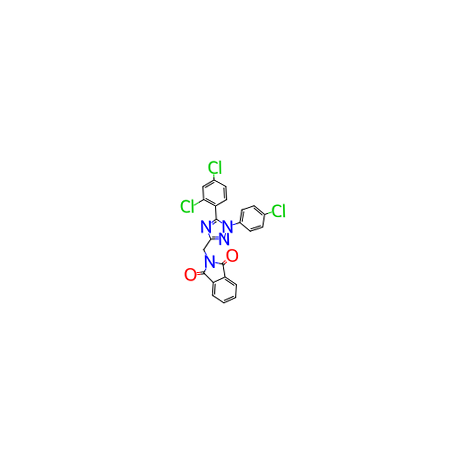 O=C1c2ccccc2C(=O)N1Cc1nc(-c2ccc(Cl)cc2Cl)n(-c2ccc(Cl)cc2)n1